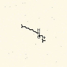 CC(C)CCCCCCCCNC(=O)CN(C)CC(C)C